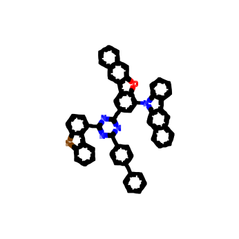 c1ccc(-c2ccc(-c3nc(-c4cc(-n5c6ccccc6c6cc7ccccc7cc65)c5oc6cc7ccccc7cc6c5c4)nc(-c4cccc5sc6ccccc6c45)n3)cc2)cc1